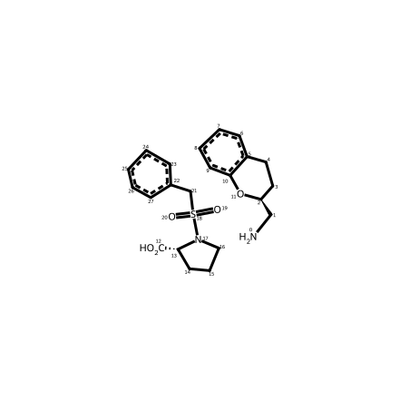 NC[C@@H]1CCc2ccccc2O1.O=C(O)[C@H]1CCCN1S(=O)(=O)Cc1ccccc1